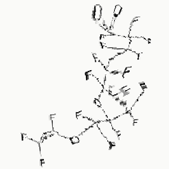 O=S(=O)(F)C(F)(F)C(F)(F)C(F)(F)C(F)(F)OC(F)(C(F)(F)F)C(F)(F)OC(F)=C(F)F